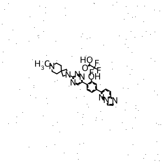 CN1CCC2(CC1)CN(c1ncc(-c3ccc(-c4ccc5nccn5n4)cc3O)nn1)C2.O=C(O)C(F)(F)F